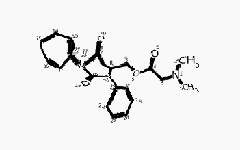 CN(C)CC(=O)OCC1C(=O)N(c2ccccc2)C(=O)N1c1ccccc1